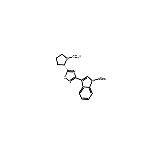 CCCCCCCCCCn1cc(-c2noc([C@@H]3CCCN3C(=O)O)n2)c2ccccc21